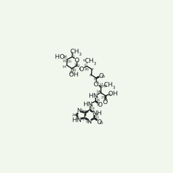 CC1O[C@H](O[C@H](C)CCC(=O)O[C@H](C)[C@H](NC(=O)Nc2[nH]c(=O)nc3[nH]cnc23)C(=O)O)[C@H](O)C[C@@H]1O